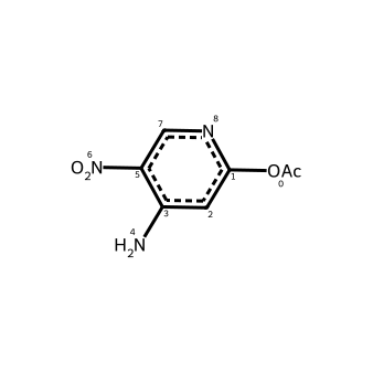 CC(=O)Oc1cc(N)c([N+](=O)[O-])cn1